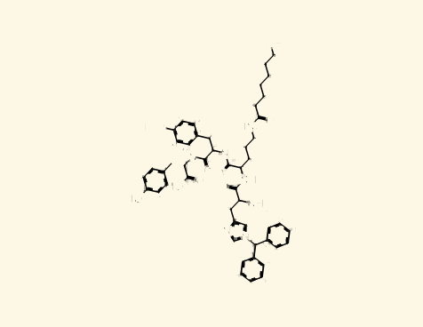 CCCCCCCC(=O)NCCCC(NC(=O)C(N)Cc1cn(C(c2ccccc2)c2ccccc2)cn1)C(=O)NC(Cc1ccc(C)cc1)C(=O)N[C@@H](Cc1ccc(O)cc1)C(=O)O